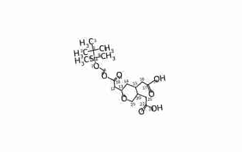 CC(C)(C)[Si](C)(C)OCOC(=O)CC1CC(CC(=O)O)C(CC(=O)O)CO1